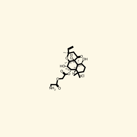 C=C[C@@]1(C)CC(=O)[C@]2(O)[C@@]3(C)[C@@H](O)CCC(C)(C)[C@@H]3[C@H](OC(=O)COC(=O)CN)[C@H](O)[C@@]2(C)O1.Cl